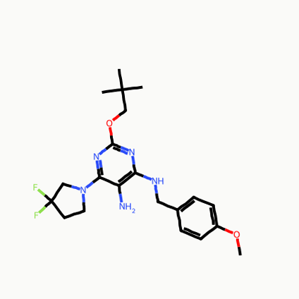 COc1ccc(CNc2nc(OCC(C)(C)C)nc(N3CCC(F)(F)C3)c2N)cc1